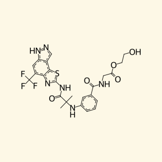 CC(C)(Nc1cccc(C(=O)NCC(=O)OCCO)c1)C(=O)Nc1nc2c(C(F)(F)F)cc3[nH]ncc3c2s1